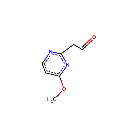 COc1ccnc(CC=O)n1